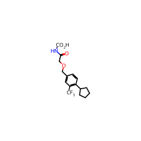 O=C(O)NC(=O)COCc1ccc(C2CCCC2)c(C(F)(F)F)c1